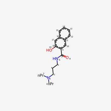 CCCN(CCC)CCCNC(=O)c1cc2ccccc2cc1O